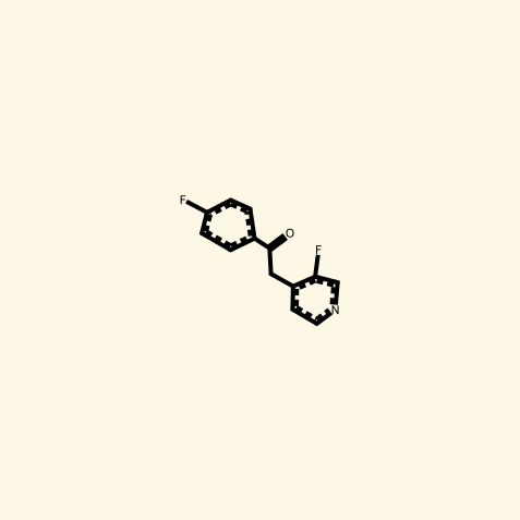 O=C(Cc1ccncc1F)c1ccc(F)cc1